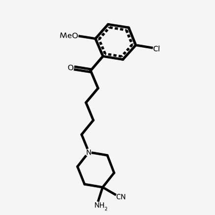 COc1ccc(Cl)cc1C(=O)CCCCN1CCC(N)(C#N)CC1